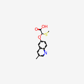 CSC(Oc1ccc2ncc(C)cc2c1)C(=O)O